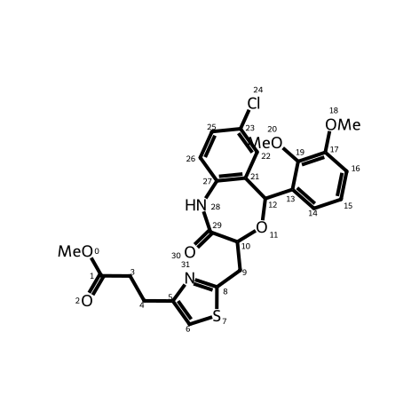 COC(=O)CCc1csc(CC2OC(c3cccc(OC)c3OC)c3cc(Cl)ccc3NC2=O)n1